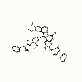 COc1cc2ccn3c(c(-c4ccc(OC(=O)[C@@H](N)Cc5ccccc5)c(OC)c4)c4c5cc(OC)c(OC(=O)C(=N)Cc6ccccc6)cc5oc(=O)c43)c2cc1OC